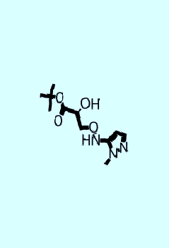 Cn1nccc1NOC[C@@H](O)C(=O)OC(C)(C)C